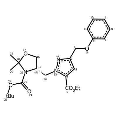 CCOC(=O)c1cc(COc2ccccc2)nn1C[C@H]1COC(C)(C)N1C(=O)OC(C)(C)C